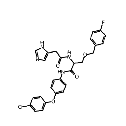 O=C(Cc1cnc[nH]1)N[C@@H](COCc1ccc(F)cc1)C(=O)Nc1ccc(Oc2ccc(Cl)cc2)cc1